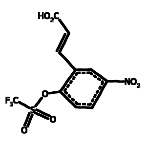 O=C(O)C=Cc1cc([N+](=O)[O-])ccc1OS(=O)(=O)C(F)(F)F